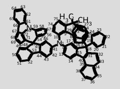 CC1(C)c2ccccc2-c2c(N(c3ccc4c(c3)C(c3ccccc3)(c3ccccc3)c3ccc5ccccc5c3-4)c3ccc4c(c3)C3(c5ccccc5-4)c4ccccc4-n4c5ccccc5c5cccc3c54)cccc21